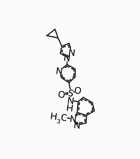 Cn1ncc2cccc(NS(=O)(=O)c3ccc(-n4cc(C5CC5)cn4)nc3)c21